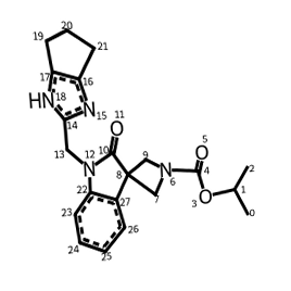 CC(C)OC(=O)N1CC2(C1)C(=O)N(Cc1nc3c([nH]1)CCC3)c1ccccc12